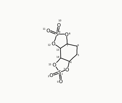 O=S1(=O)OC2CCC3OS(=O)(=O)OC3C2O1